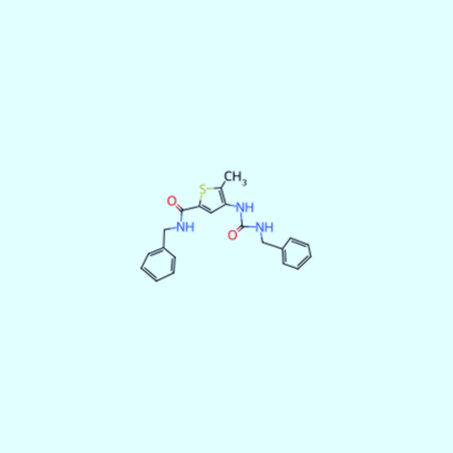 Cc1sc(C(=O)NCc2ccccc2)cc1NC(=O)NCc1ccccc1